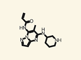 C=CC(=O)Nc1c(C)c(NC2CCCNC2)nc2ccnn12